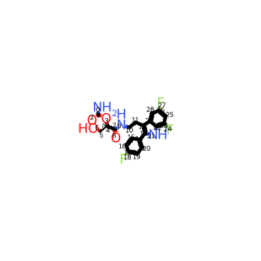 NC(=O)O[C@H](CO)C(=O)NCCc1c(-c2ccc(F)cc2)[nH]c2c(F)cc(F)cc12